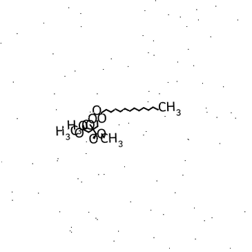 CCCCCCCCCCCCCC(=O)OC(=O)CC(CC(=O)OC)(OC)C(=O)OC